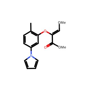 CO/C=C(\Oc1cc(-n2cccc2)ccc1C)C(=O)OC